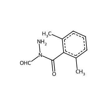 Cc1cccc(C)c1C(=O)N(N)C=O